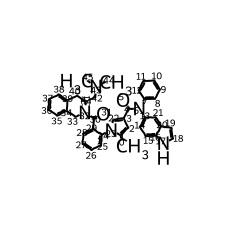 Cc1cc(C(=O)N(c2ccccc2)c2ccc3[nH]ccc3c2)cn1-c1ccccc1C(=O)N1Cc2ccccc2C[C@H]1CN(C)C